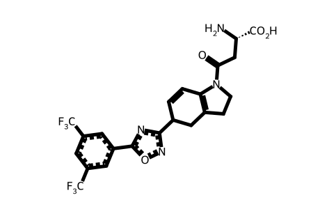 N[C@@H](CC(=O)N1CCC2=C1C=CC(c1noc(-c3cc(C(F)(F)F)cc(C(F)(F)F)c3)n1)C2)C(=O)O